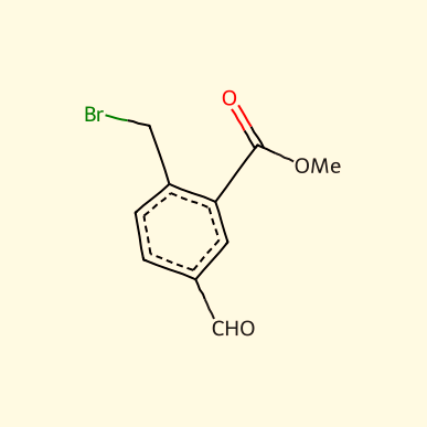 COC(=O)c1cc(C=O)ccc1CBr